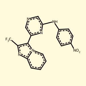 O=[N+]([O-])c1ccc(Nc2cncc(-c3c(C(F)(F)F)nc4ccccn34)n2)cc1